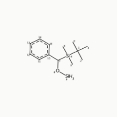 CC(C)(C)[Si](C)(C)C(O[SiH3])c1ccccc1